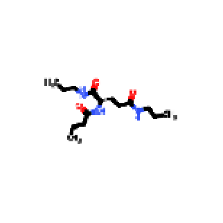 CCCNC(=O)CC[C@H](NC(=O)CCC)C(=O)NCCC